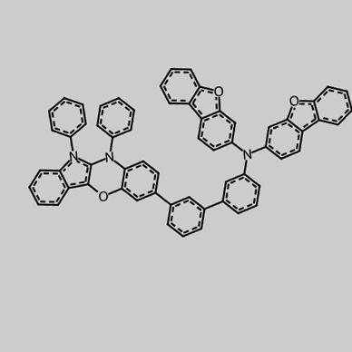 c1ccc(N2c3ccc(-c4cccc(-c5cccc(N(c6ccc7c(c6)oc6ccccc67)c6ccc7c(c6)oc6ccccc67)c5)c4)cc3Oc3c2n(-c2ccccc2)c2ccccc32)cc1